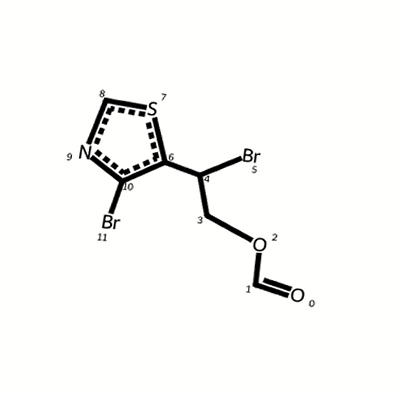 O=COCC(Br)c1scnc1Br